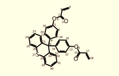 C=CC(=O)Oc1ccc(C2(c3ccc(OC(=O)C=C)cc3)c3ccccc3Sc3ccccc32)cc1